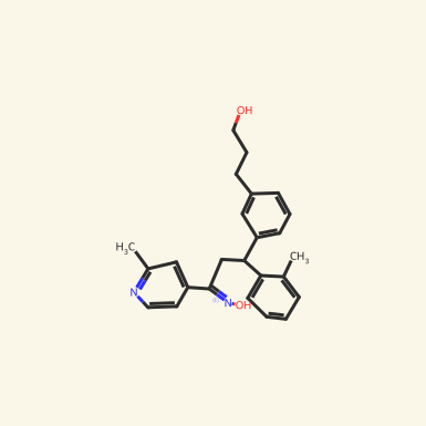 Cc1cc(/C(CC(c2cccc(CCCO)c2)c2ccccc2C)=N/O)ccn1